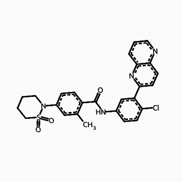 Cc1cc(N2CCCCS2(=O)=O)ccc1C(=O)Nc1ccc(Cl)c(-c2ccc3ncccc3n2)c1